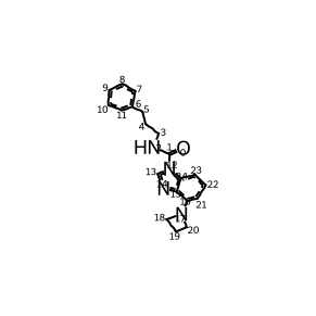 O=C(NCCCc1ccccc1)n1cnc2c(N3CCC3)cccc21